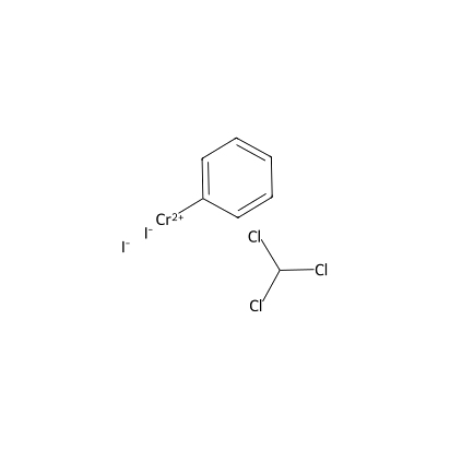 ClC(Cl)Cl.[Cr+2][c]1ccccc1.[I-].[I-]